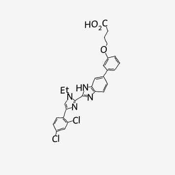 CCn1cc(-c2ccc(Cl)cc2Cl)nc1-c1nc2ccc(-c3cccc(OCCCC(=O)O)c3)cc2[nH]1